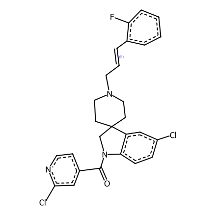 O=C(c1ccnc(Cl)c1)N1CC2(CCN(C/C=C/c3ccccc3F)CC2)c2cc(Cl)ccc21